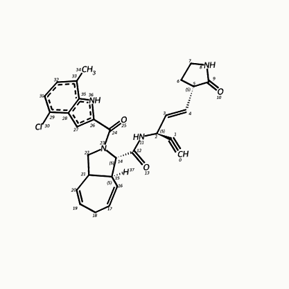 C#C[C@H](C=C[C@@H]1CCNC1=O)NC(=O)[C@@H]1[C@H]2C=CCC=CC2CN1C(=O)c1cc2c(Cl)ccc(C)c2[nH]1